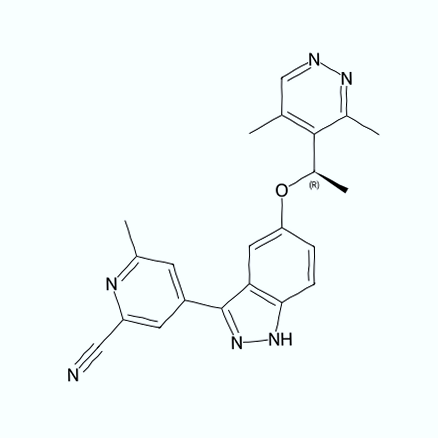 Cc1cc(-c2n[nH]c3ccc(O[C@H](C)c4c(C)cnnc4C)cc23)cc(C#N)n1